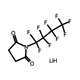 O=C1CCC(=O)N1C(F)(F)C(F)(F)C(F)(F)C(F)(F)F.[LiH]